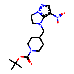 CC(C)(C)OC(=O)N1CCC(CN2CCn3ncc([N+](=O)[O-])c32)CC1